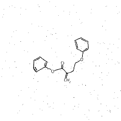 C=C(CCOc1ccccc1)C(=O)Oc1ccccc1